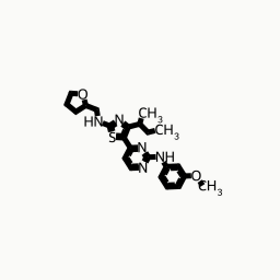 CCC(C)c1nc(NCC2CCCO2)sc1-c1ccnc(Nc2cccc(OC)c2)n1